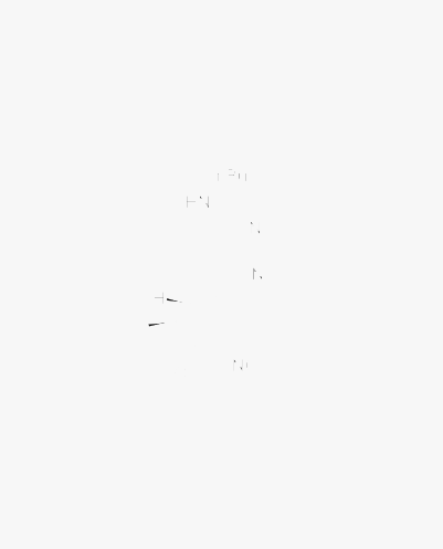 [C-]#[N+]C1=C[C@]2(C)c3nc(C)nc(NCCCC)c3CC[C@H]2[C@H](C)C1=O